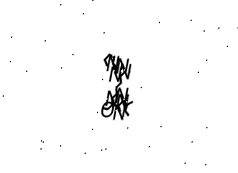 COc1nc(CCc2nc(N3CCCC3)nn2C)nn2c(C)c(C)nc12